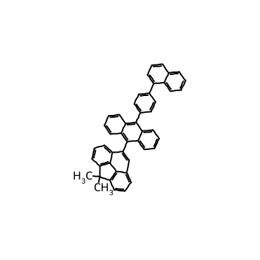 CC1(C)c2cccc3cc(-c4c5ccccc5c(-c5ccc(-c6cccc7ccccc67)cc5)c5ccccc45)c4cccc1c4c23